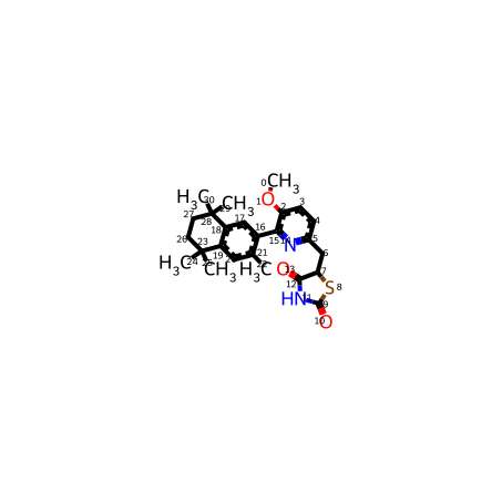 COc1ccc(CC2SC(=O)NC2=O)nc1-c1cc2c(cc1C)C(C)(C)CCC2(C)C